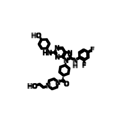 O=C([C@H]1CC[C@@H](n2c(Nc3ccc(F)cc3F)nc3cnc(N[C@H]4CC[C@H](O)CC4)nc32)CC1)N1CCN(CCO)CC1